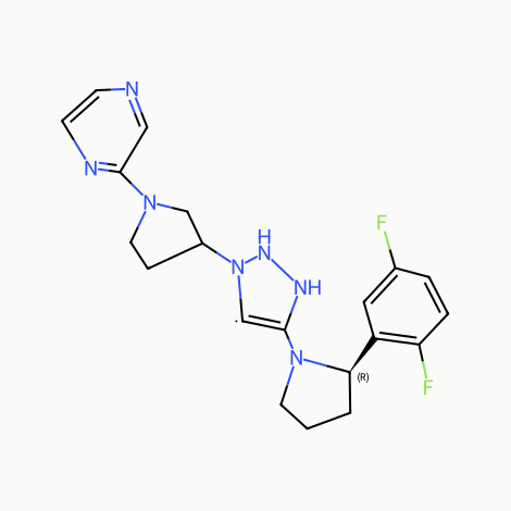 Fc1ccc(F)c([C@H]2CCCN2C2=[C]N(C3CCN(c4cnccn4)C3)NN2)c1